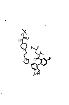 CC(C)N(CC(F)F)C(=O)c1cc(F)ccc1-c1cc([C@@H]2CCN(CCN3CCC(NC(=O)OC(C)(C)C)CC3)C2)cc2c1cnn2C